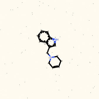 C1=CCN(Cc2c[nH]c3ccccc23)CC1